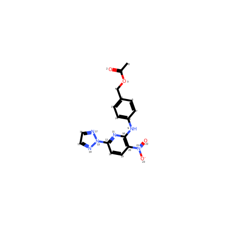 CC(=O)OCc1ccc(Nc2nc(-n3nccn3)ccc2[N+](=O)[O-])cc1